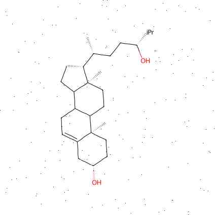 CC(C)[C@H](O)CC[C@@H](C)[C@H]1CCC2C3CC=C4C[C@@H](O)CC[C@]4(C)C3CC[C@@]21C